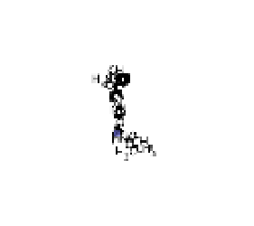 CN(C)c1ccccc1C(=O)C1CCN(c2ncc(OC/C(=C/F)CNC(=O)OC(C)(C)C)cn2)CC1